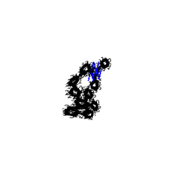 c1ccc(-c2nc(-c3ccccc3)nc(-c3cccc(-c4cccc(-c5ccc(-c6cc(-c7ccccc7)c(-c7ccccc7)c(-c7ccccc7)c6-c6ccccc6)cc5)c4)c3)n2)cc1